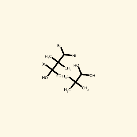 CC(C)(C)C(O)O.CC(C)([CH]([Ni])Br)C(O)(O)Br